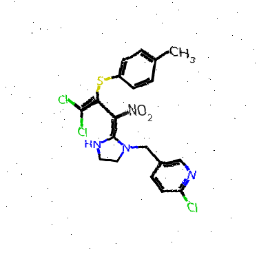 Cc1ccc(SC(=C(Cl)Cl)C(=C2NCCN2Cc2ccc(Cl)nc2)[N+](=O)[O-])cc1